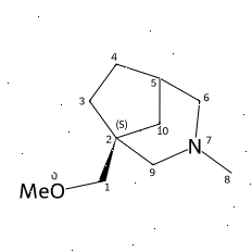 COC[C@]12CCC(CN(C)C1)C2